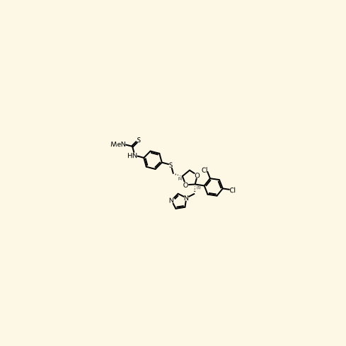 CNC(=S)Nc1ccc(SC[C@@H]2CO[C@@](Cn3ccnc3)(c3ccc(Cl)cc3Cl)O2)cc1